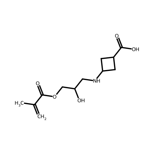 C=C(C)C(=O)OCC(O)CNC1CC(C(=O)O)C1